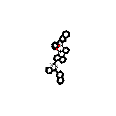 c1ccc(N2c3c(cccc3-n3c4ccccc4c4cc5ccccc5cc43)-c3cccc4c(-c5nc(-c6ccc7ccccc7c6)c6ccccc6n5)ccc2c34)cc1